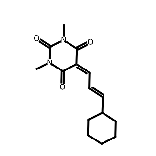 CN1C(=O)C(=C/C=C/C2CCCCC2)C(=O)N(C)C1=O